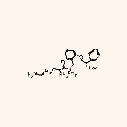 CCCCCCC(COc1ccccc1CN(C)C(=O)C(N)CCCCN)c1ccccc1